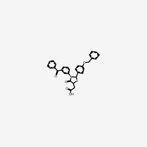 O=C(O)CC1SC(c2ccc(OCc3ccccc3)cc2)N(c2cccc(C(=O)c3ccccc3)c2)C1=O